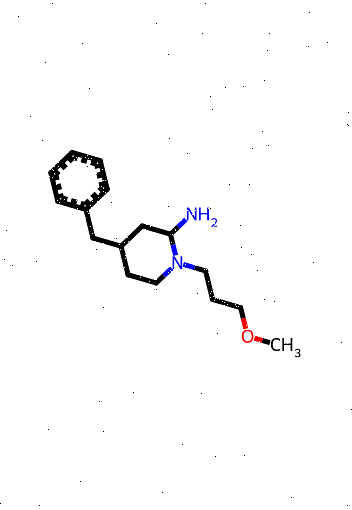 COCCCN1CCC(Cc2ccccc2)CC1N